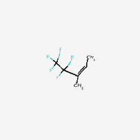 CC=C(C)C(F)(F)C(F)(F)F